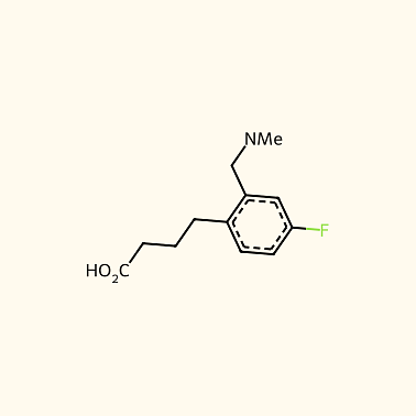 CNCc1cc(F)ccc1CCCC(=O)O